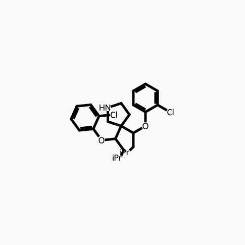 CC(C)CC(Oc1ccccc1Cl)C1(C(CC(C)C)Oc2ccccc2Cl)CCNC1